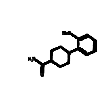 CNc1ccccc1N1CCC(C(N)=O)CC1